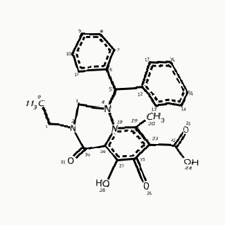 CCN1CN(C(c2ccccc2)c2ccccc2)n2c(C)c(C(=O)O)c(=O)c(O)c2C1=O